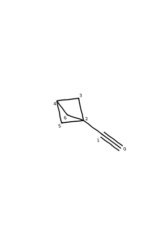 C#CC12CC(C1)C2